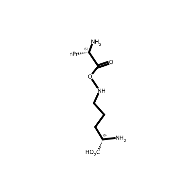 CCC[C@H](N)C(=O)ONCCC[C@H](N)C(=O)O